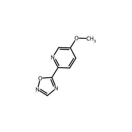 COc1ccc(-c2ncno2)nc1